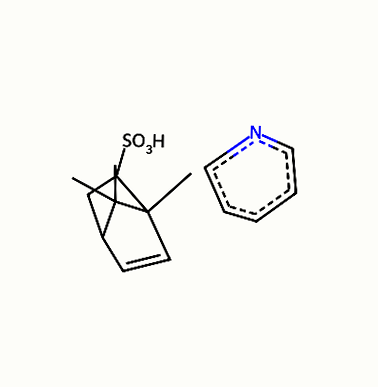 CC1(C)C2C=CC1(C)C(S(=O)(=O)O)C2.c1ccncc1